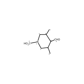 CC1CN(C(=O)O)CC(C)C1C=O